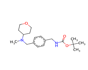 CN(Cc1ccc(CNC(=O)OC(C)(C)C)cc1)C1CCOCC1